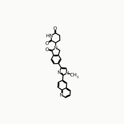 Cn1cc(-c2ccc3c(c2)CN(C2CCC(=O)NC2=O)C3=O)nc1-c1ccc2ncccc2c1